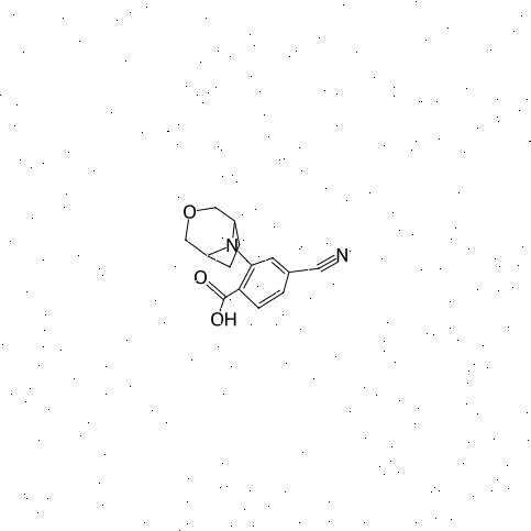 N#Cc1ccc(C(=O)O)c(N2C3CCC2COC3)c1